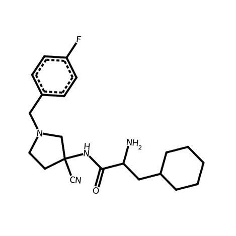 N#CC1(NC(=O)C(N)CC2CCCCC2)CCN(Cc2ccc(F)cc2)C1